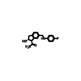 NC(=O)[C@@H]1c2cc(CNc3ccc(F)cc3)ccc2C[C@H]1O